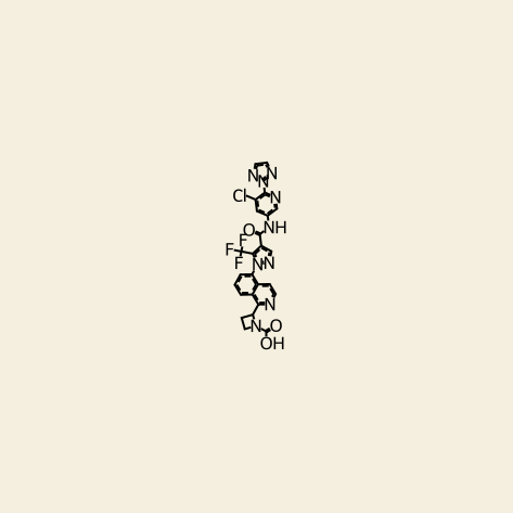 O=C(Nc1cnc(-n2nccn2)c(Cl)c1)c1cnn(-c2cccc3c(C4CCN4C(=O)O)nccc23)c1C(F)(F)F